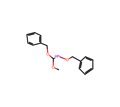 COC(OCc1ccccc1)POCc1ccccc1